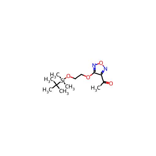 CC(=O)c1nonc1OCCO[Si](C)(C)C(C)(C)C